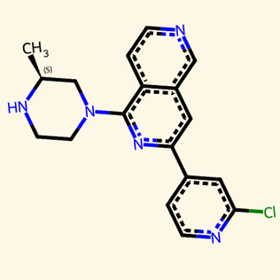 C[C@H]1CN(c2nc(-c3ccnc(Cl)c3)cc3cnccc23)CCN1